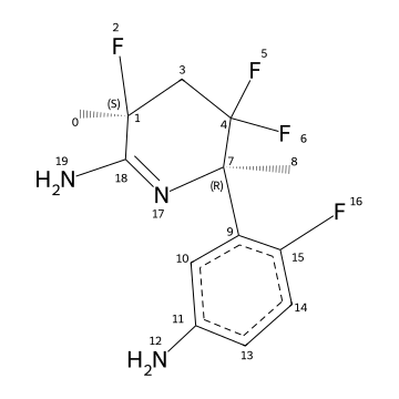 C[C@]1(F)CC(F)(F)[C@@](C)(c2cc(N)ccc2F)N=C1N